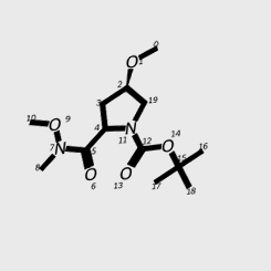 CO[C@@H]1CC(C(=O)N(C)OC)N(C(=O)OC(C)(C)C)C1